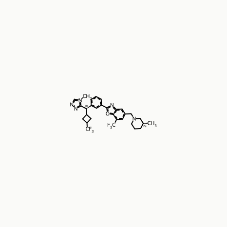 C[C@H]1CCCN(Cc2cc(C(F)(F)F)c3oc(-c4cccc([C@H](c5nncn5C)C5CC(C(F)(F)F)C5)c4)nc3c2)C1